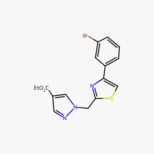 CCOC(=O)c1cnn(Cc2nc(-c3cccc(Br)c3)cs2)c1